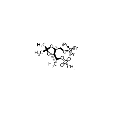 CC(C)[Si](OC[C@@H]1OC(C)(C)O[C@@H]1[C@@H](C)OS(C)(=O)=O)(C(C)C)C(C)C